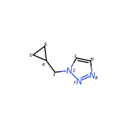 [c]1cn(CC2CC2)nn1